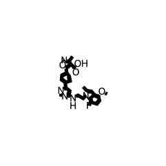 COc1ccc(F)c2c1cc(C)n2CCNc1cc(-c2ccc(-c3onc(C)c3C(=O)O)cc2)ncn1